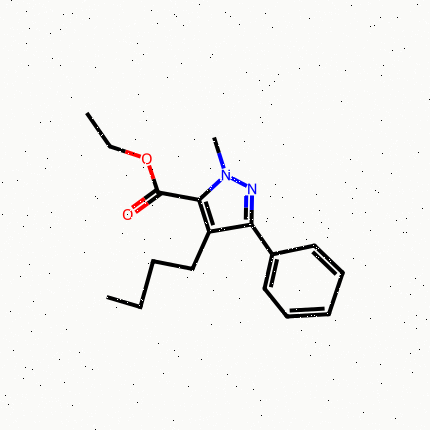 CCCCc1c(-c2ccccc2)nn(C)c1C(=O)OCC